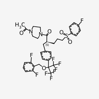 CC(=O)N1CCN(C(=O)[C@@H](CCCS(=O)(=O)c2ccc(F)cc2)Cc2ccc(C(OCc3c(F)cccc3F)(C(F)(F)F)C(F)(F)F)cc2)CC1